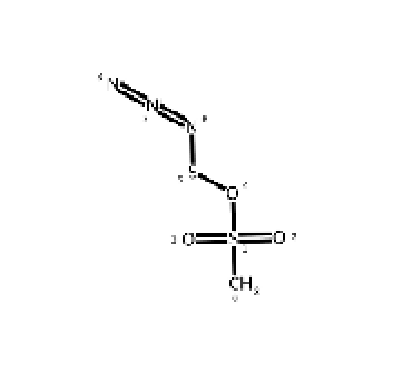 CS(=O)(=O)OSN=[N+]=[N-]